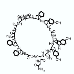 CCCC[C@H]1C(=O)N(C)CC(=O)N[C@@H](CC(=O)O)C(=O)N[C@@H](C(C)C)C(=O)N(C)[C@@H](Cc2ccccc2)C(=O)N[C@@H](Cc2ccc(O)cc2)C(=O)N(C)CC(=O)N[C@@H](Cc2c[nH]c3ccc(O)cc23)C(=O)N[C@@H](Cc2ccc(O)cc2)C(=O)N[C@@H](CC(C)C)C(=O)N[C@H](C(=O)NCC(N)=O)CSCC(=O)N[C@@H](Cc2ccccc2)C(=O)N(C)[C@@H](Cc2ccccc2)C(=O)N1C